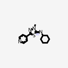 Cn1nc(-c2ccncc2)s/c1=N\C1CCCCC1